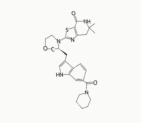 CC1(C)Cc2nc(N3CCOC[C@@H]3Cc3c[nH]c4cc(C(=O)N5CCCCC5)ccc34)sc2C(=O)N1